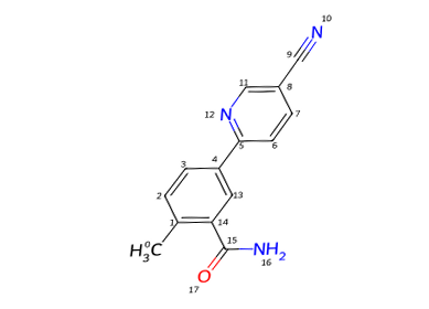 Cc1ccc(-c2ccc(C#N)cn2)cc1C(N)=O